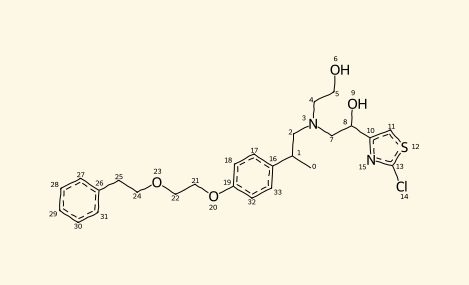 CC(CN(CCO)CC(O)c1csc(Cl)n1)c1ccc(OCCOCCc2ccccc2)cc1